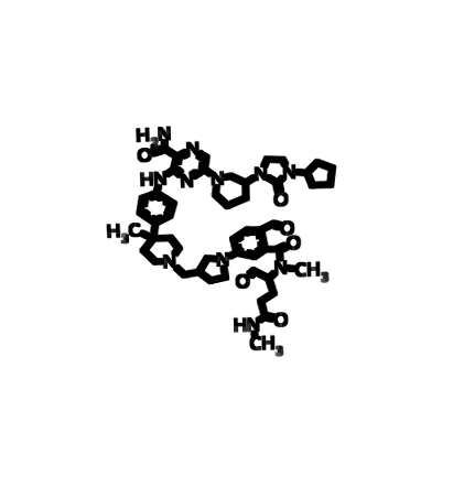 CNC(=O)CCC(C=O)N(C)C(=O)c1cc(N2CCC(CN3CCC(C)(c4ccc(Nc5nc(N6CCCC(N7CCN(C8CCCC8)C7=O)C6)cnc5C(N)=O)cc4)CC3)C2)ccc1C=O